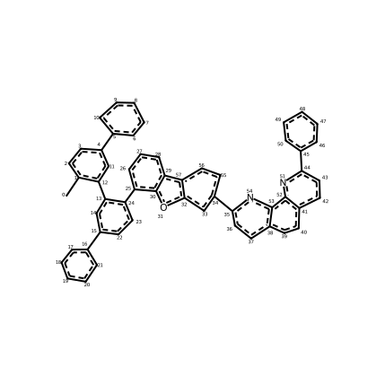 Cc1ccc(-c2ccccc2)cc1-c1cc(-c2ccccc2)ccc1-c1cccc2c1oc1cc(-c3ccc4ccc5ccc(-c6ccccc6)nc5c4n3)ccc12